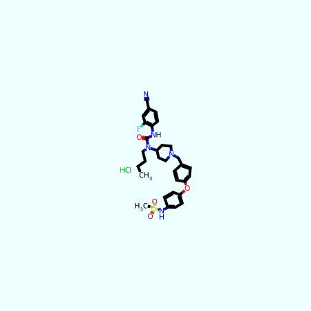 CCCCN(C(=O)Nc1ccc(C#N)cc1F)C1CCN(Cc2ccc(Oc3ccc(NS(C)(=O)=O)cc3)cc2)CC1.Cl